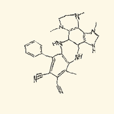 Cc1c(C#N)c(C#N)c(-c2ccccc2)c2c1NC1C3=C(C4=C(C1N2)N(C)CCN4C)N(C)CN3